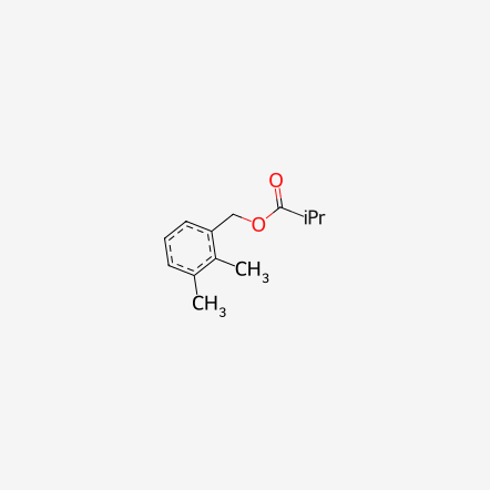 Cc1cccc(COC(=O)C(C)C)c1C